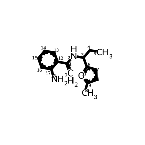 C=C(NC(CC)c1ccc(C)o1)c1ccccc1N